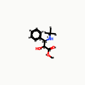 COC(=O)C(O)[C@H](NC(C)(C)C)c1ccccc1